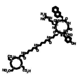 CN1[C@H](CCCNC(=O)CCCCNC(=O)CCCCNC(=O)CN2CCN(CC(=O)O)CCN(CC(=O)O)CCN(CC(=O)O)CC2)C(=O)N[C@@H](CCCNC(=N)N)C(=O)N[C@@H](Cc2ccc3ccccc3c2)C(=O)NCC(=O)N[C@@]1(C=O)Cc1ccc(O)cc1